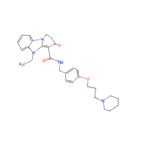 CCN1C2=C(C(=O)NCc3ccc(OCCCN4CCCCC4)cc3)C(=O)CCN2c2ccccc21